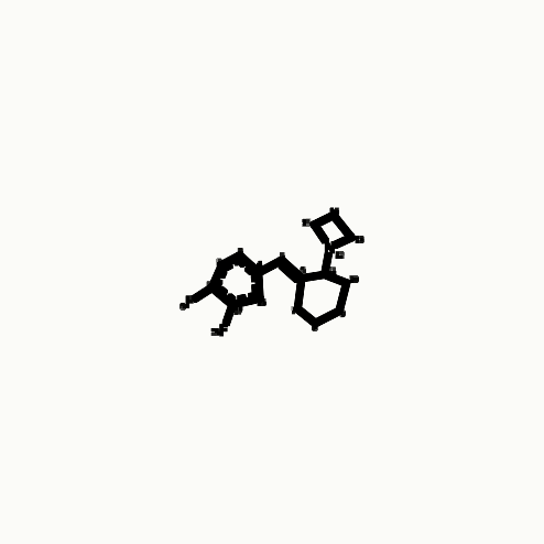 Fc1ccc(C=C2CCCCC2N2CCC2)cc1F